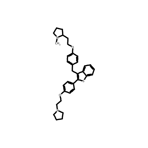 CN1CCCC1CCOc1ccc(Cc2c(-c3ccc(OCCN4CCCC4)cc3)sc3ccccc23)cc1